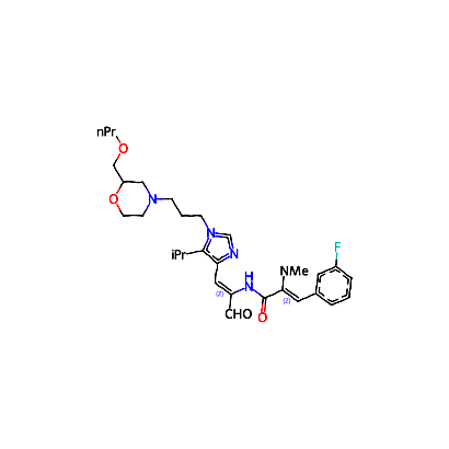 CCCOCC1CN(CCCn2cnc(/C=C(/C=O)NC(=O)/C(=C/c3cccc(F)c3)NC)c2C(C)C)CCO1